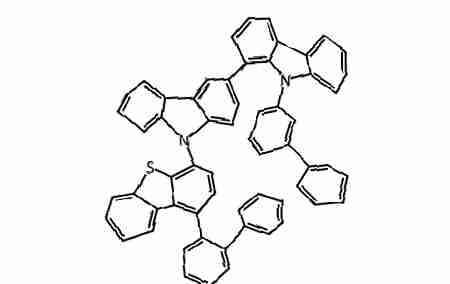 c1ccc(-c2cccc(-n3c4ccccc4c4cccc(-c5ccc6c(c5)c5ccccc5n6-c5ccc(-c6ccccc6-c6ccccc6)c6c5sc5ccccc56)c43)c2)cc1